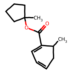 CC1CC=CC=C1C(=O)OC1(C)CCCC1